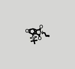 C=CCN1C(=O)C2C3CC([Si](C)(C)C(C)(C)C)(C4OC34)C2C1=O